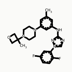 Cc1cc(Nc2ncn(-c3cc(F)ccc3F)n2)cc(N2CCN(C3(C)COC3)CC2)c1